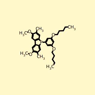 CCCCCOc1cc(OCCCCC)cc(-p2c3cc(C)c(OC)cc3c3cc(OC)c(C)cc32)c1